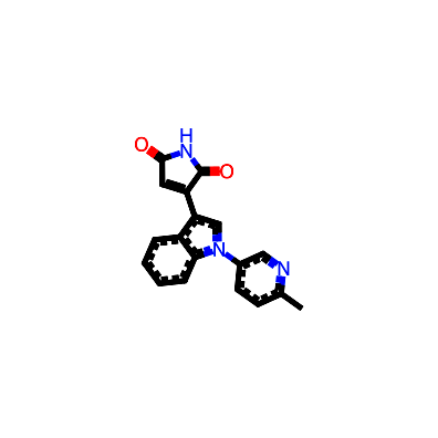 Cc1ccc(-n2cc(C3=CC(=O)NC3=O)c3ccccc32)cn1